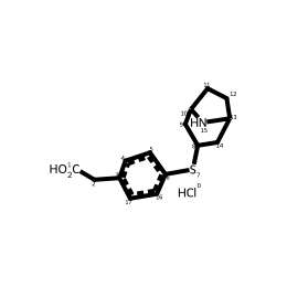 Cl.O=C(O)Cc1ccc(SC2CC3CCC(C2)N3)cc1